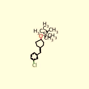 CC(C)(C)[Si](C)(C)OC1CCC(=Cc2cccc(Cl)c2)CC1